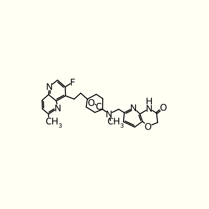 Cc1ccc2ncc(F)c(CCC34CCC(N(C)Cc5ccc6c(n5)NC(=O)CO6)(CC3)CO4)c2n1